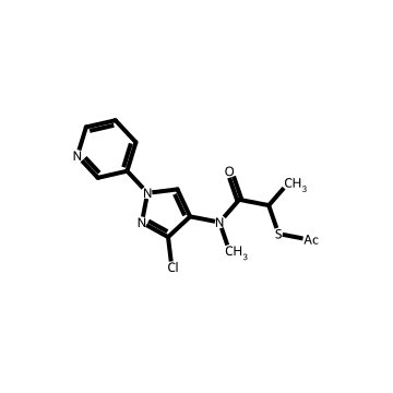 CC(=O)SC(C)C(=O)N(C)c1cn(-c2cccnc2)nc1Cl